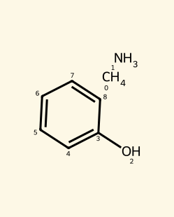 C.N.Oc1ccccc1